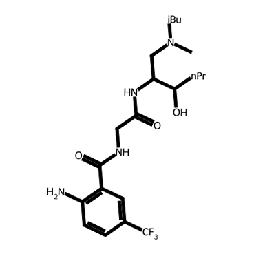 CCCC(O)C(CN(C)C(C)CC)NC(=O)CNC(=O)c1cc(C(F)(F)F)ccc1N